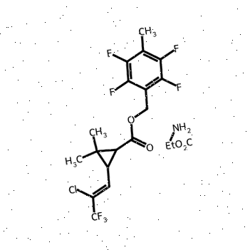 CCOC(N)=O.Cc1c(F)c(F)c(COC(=O)C2C(/C=C(\Cl)C(F)(F)F)C2(C)C)c(F)c1F